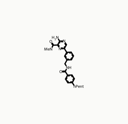 CCCCCc1ccc(C(=O)NCc2cccc(-c3cnc(N)c(C(=O)NC)n3)c2)cc1